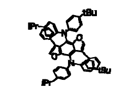 CC(C)c1ccc(N(c2ccc(C(C)(C)C)cc2)c2c3occ(-c4ccccc4)c3c(N(c3ccc(C(C)C)cc3)c3ccc(C(C)(C)C)cc3)c3occ(-c4ccccc4)c23)cc1